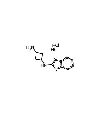 Cl.Cl.NC1CC(Nc2nc3ccccc3s2)C1